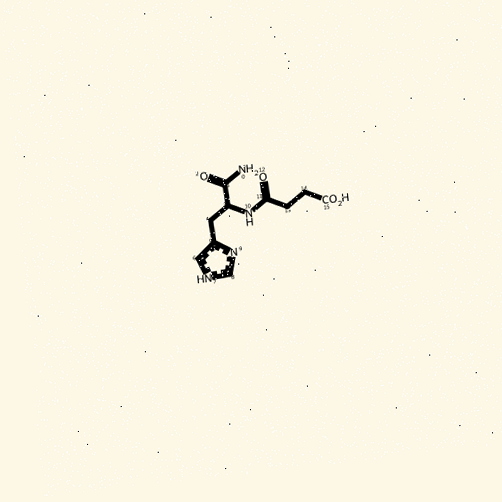 NC(=O)C(Cc1c[nH]cn1)NC(=O)CCC(=O)O